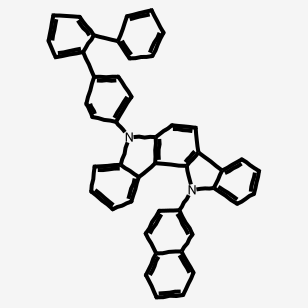 c1ccc(-c2ccccc2-c2ccc(-n3c4ccccc4c4c3ccc3c5ccccc5n(-c5ccc6ccccc6c5)c34)cc2)cc1